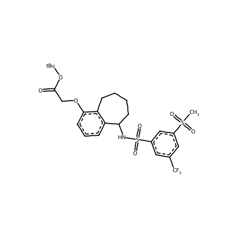 CC(C)(C)OC(=O)COc1cccc2c1CCCCC2NS(=O)(=O)c1cc(C(F)(F)F)cc(S(C)(=O)=O)c1